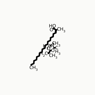 C=C(C)C(=O)OC(C)N(C)C.CCCCCCCCCCCCCCCCCCC=C(C)C(=O)O